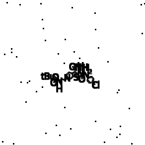 CC(C)(C)OC(=O)NCCN1CCc2c(sc(NC(=O)Nc3ccc(Cl)cc3)c2C(N)=O)C1